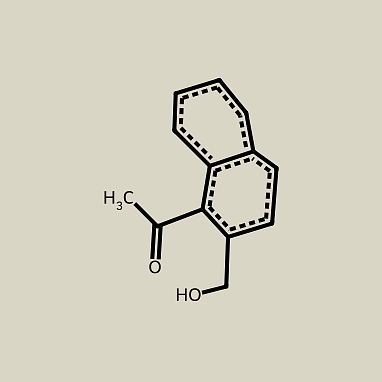 CC(=O)c1c(CO)ccc2ccccc12